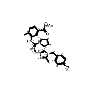 CNC(=O)c1ccc(C)c(N/C(=N/C#N)N2CCC[C@@H]2c2nnc(C)n2Cc2ccc(Cl)cc2)c1